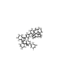 c1ccc(-c2ccc(-c3nc4ccccc4n3-c3ccc(-c4ccc5c(c4)C4(c6ccccc6S5)c5ccccc5-c5ccccc54)cc3)c(-c3ccccc3)n2)cc1